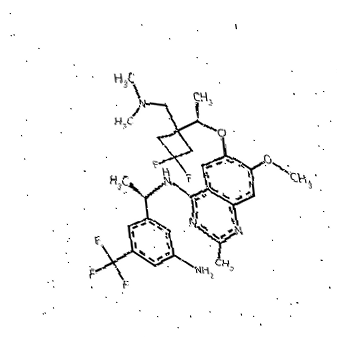 COc1cc2nc(C)nc(N[C@H](C)c3cc(N)cc(C(F)(F)F)c3)c2cc1O[C@H](C)C1(CN(C)C)CC(F)(F)C1